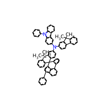 CC1(C)c2ccccc2-c2ccc(N(c3ccc4c(c3)[Si](C)(C)c3ccccc3C43c4ccccc4-c4cccc5c(-c6ccccc6)ccc3c45)c3ccc4c(c3)c3ccccc3n4-c3ccccc3)cc21